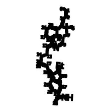 C/C=C\C=C/C(C)CN/C=N\C(=C/CC/C(C)=C/C=C1/c2ccc(C(C)=N)cc2CC1CC)c1ccccc1